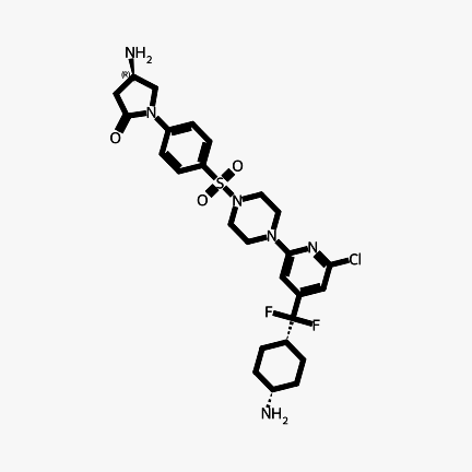 N[C@@H]1CC(=O)N(c2ccc(S(=O)(=O)N3CCN(c4cc(C(F)(F)[C@H]5CC[C@@H](N)CC5)cc(Cl)n4)CC3)cc2)C1